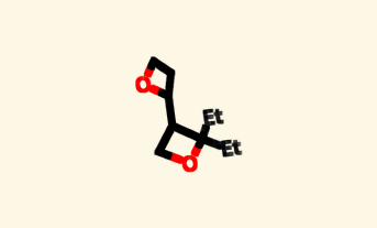 CCC1(CC)OCC1C1CCO1